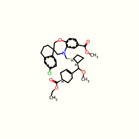 CCOC(=O)[C@H]1CC=C(C(OC)[C@@H]2CC[C@H]2CN2CC3(CCCc4cc(Cl)ccc43)COc3ccc(C(=O)OC)cc32)CC1